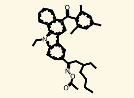 CCCCC(CC)C/C(=N\OC(C)=O)c1ccc2c(c1)c1cc(C(=O)c3c(C)cc(C)cc3C)c3ccccc3c1n2CC